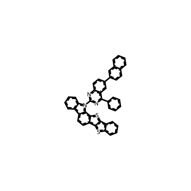 c1ccc(-c2nc(-n3c4ccccc4c4ccc5c6sc7ccccc7c6sc5c43)nc3ccc(-c4ccc5ccccc5c4)cc23)cc1